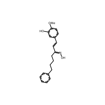 COc1ccc(C=CC(CCCCc2ccccc2)=NO)cc1O